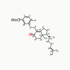 COc1ccc(C)c(CCC2=C3CCC([C@H](C)CCC=C(C)C)C3(C)CCC2=O)c1